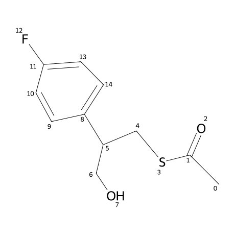 CC(=O)SCC(CO)c1ccc(F)cc1